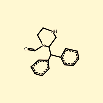 O=CN1CCNCC1C(c1ccccc1)c1ccccc1